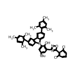 Cc1cc(C)c(-c2ccc3c(c2)c2cc(-c4c(C)cc(C)cc4C)ccc2n3-c2cc(C(C)(C)C)cc(-c3noc(-c4c(Cl)cccc4Cl)n3)c2O)c(C)c1